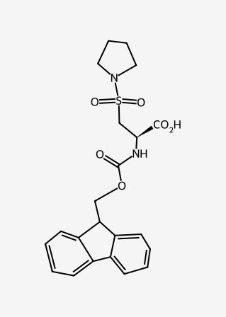 O=C(N[C@@H](CS(=O)(=O)N1CCCC1)C(=O)O)OCC1c2ccccc2-c2ccccc21